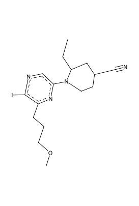 CCC1CC(C#N)CCN1c1cnc(I)c(CCCOC)n1